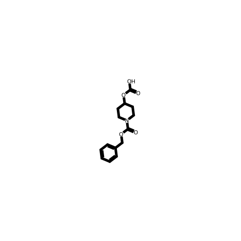 O=C(O)OC1CCN(C(=O)OCc2ccccc2)CC1